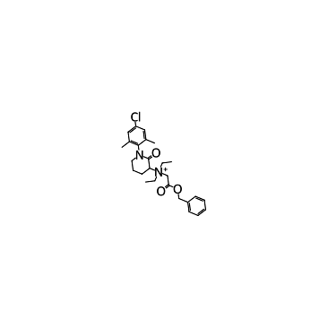 CC[N+](CC)(CC(=O)OCc1ccccc1)C1CCCN(c2c(C)cc(Cl)cc2C)C1=O